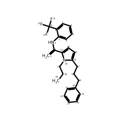 C=C(Nc1ccccc1C(F)(F)F)c1ccc(CCCc2ccccc2)n1CCC